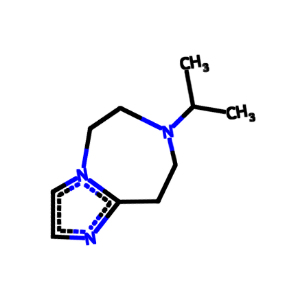 CC(C)N1CCc2nccn2CC1